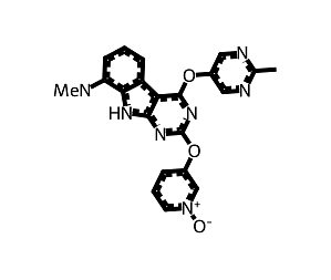 CNc1cccc2c1[nH]c1nc(Oc3ccc[n+]([O-])c3)nc(Oc3cnc(C)nc3)c12